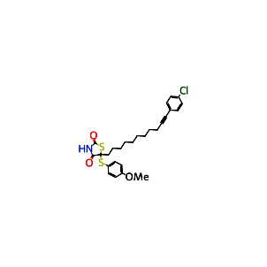 COc1ccc(SC2(CCCCCCCCCC#Cc3ccc(Cl)cc3)SC(=O)NC2=O)cc1